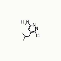 CC(C)Cc1cc(N)nnc1Cl